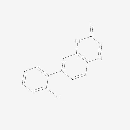 O=c1cnc2ccc(-c3ccccc3Cl)cc2[nH]1